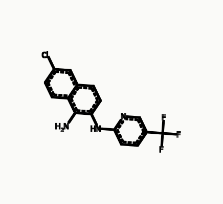 Nc1c(Nc2ccc(C(F)(F)F)cn2)ccc2cc(Cl)ccc12